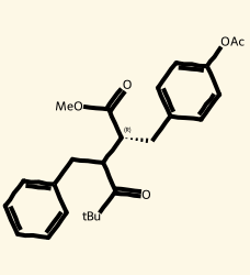 COC(=O)[C@H](Cc1ccc(OC(C)=O)cc1)C(Cc1ccccc1)C(=O)C(C)(C)C